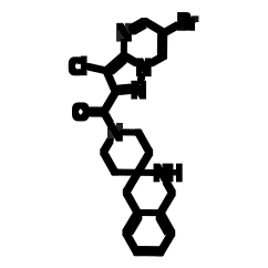 O=C(c1nn2cc(Br)cnc2c1Cl)N1CCC2(CC1)Cc1ccccc1CN2